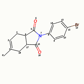 CC1=CCC2C(=O)N(c3ccc(Br)cc3)C(=O)C2C1